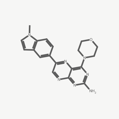 Cn1ccc2cc(-c3cnc4nc(N)nc(N5CCOCC5)c4n3)ccc21